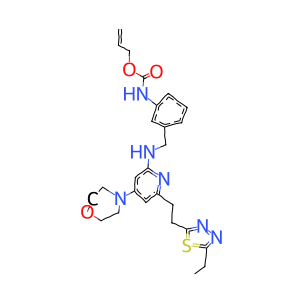 C=CCOC(=O)Nc1cccc(CNc2cc(N3CCOCC3)cc(CCc3nnc(CC)s3)n2)c1